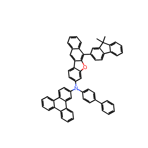 CC1(C)c2ccccc2-c2ccc(-c3c4ccccc4cc4c3oc3cc(N(c5ccc(-c6ccccc6)cc5)c5ccc6c7ccccc7c7ccccc7c6c5)ccc34)cc21